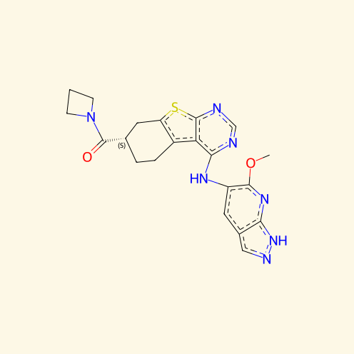 COc1nc2[nH]ncc2cc1Nc1ncnc2sc3c(c12)CC[C@H](C(=O)N1CCC1)C3